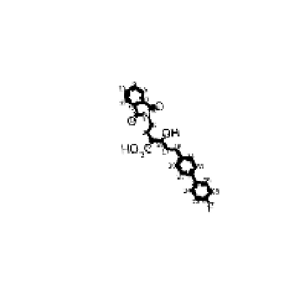 O=C(O)C(CCN1C(=O)c2ccccc2C1=O)C(O)CCc1ccc(-c2ccc(F)cc2)cc1